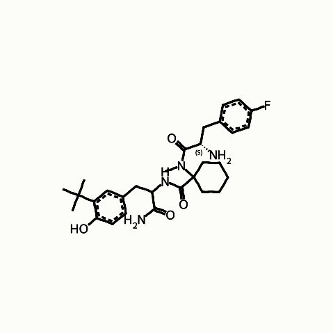 CN(C(=O)[C@@H](N)Cc1ccc(F)cc1)C1(C(=O)NC(Cc2ccc(O)c(C(C)(C)C)c2)C(N)=O)CCCCC1